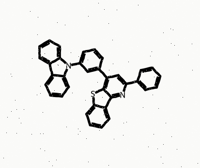 c1ccc(-c2cc(-c3cccc(-n4c5ccccc5c5ccccc54)c3)c3sc4ccccc4c3n2)cc1